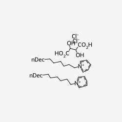 CCCCCCCCCCCCCCCC[n+]1ccccc1.CCCCCCCCCCCCCCCC[n+]1ccccc1.O=C(O)C(O)C(O)C(=O)O.[Cl-].[Cl-]